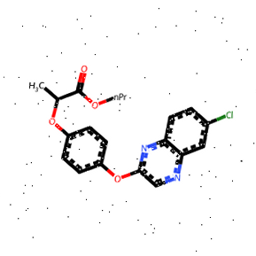 CCCOC(=O)C(C)Oc1ccc(Oc2cnc3cc(Cl)ccc3n2)cc1